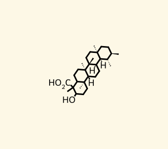 C[C@@H]1[C@H]2[C@H]3CC[C@@H]4[C@@]5(C)CCC(O)C(C)(C(=O)O)C5CC[C@@]4(C)[C@]3(C)CC[C@@]2(C)CC[C@H]1C